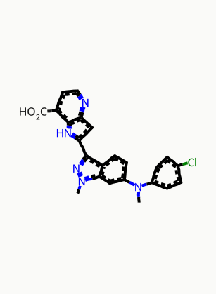 CN(c1ccc(Cl)cc1)c1ccc2c(-c3cc4nccc(C(=O)O)c4[nH]3)nn(C)c2c1